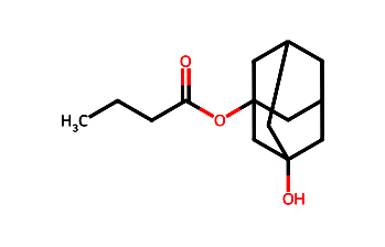 CCCC(=O)OC12CC3CC(CC(O)(C3)C1)C2